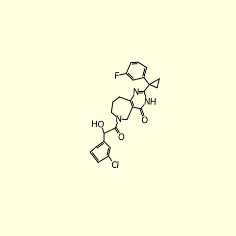 O=C(C(O)c1cccc(Cl)c1)N1CCCc2nc(C3(c4cccc(F)c4)CC3)[nH]c(=O)c2C1